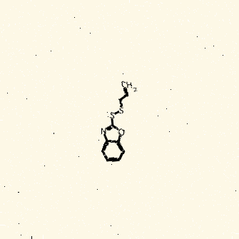 C=CCSSc1nc2ccccc2o1